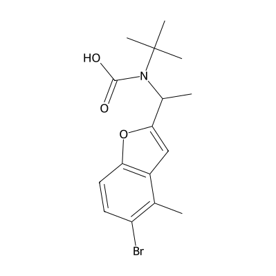 Cc1c(Br)ccc2oc(C(C)N(C(=O)O)C(C)(C)C)cc12